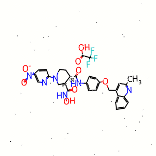 Cc1cc(COc2ccc(NC(=O)[C@H]3CCN(c4ccc([N+](=O)[O-])cn4)C[C@@H]3C(=O)NO)cc2)c2ccccc2n1.O=C(O)C(F)(F)F